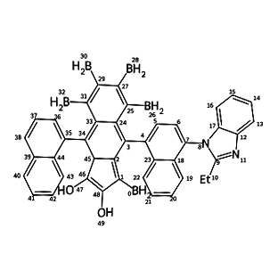 BC1=C2C(c3ccc(-n4c(CC)nc5ccccc54)c4ccccc34)=c3c(B)c(B)c(B)c(B)c3=C(c3cccc4ccccc34)C2C(O)=C1O